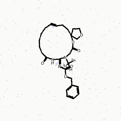 [2H]C([2H])([2H])N1CC(=O)OC2(CC/C=C/CCCCCC(=O)N/C1=N/C(=O)OCc1ccccc1)CCOC2